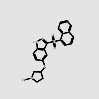 CC(C)N1CCC(Oc2ccc3[nH]nc(S(=O)(=O)c4cccc5ccccc45)c3c2)C1